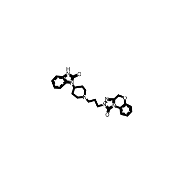 O=c1n(CCCN2CCC(n3c(=O)[nH]c4ccccc43)CC2)nc2n1-c1ccccc1OC2